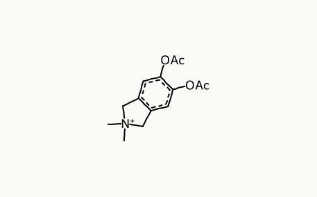 CC(=O)Oc1cc2c(cc1OC(C)=O)C[N+](C)(C)C2